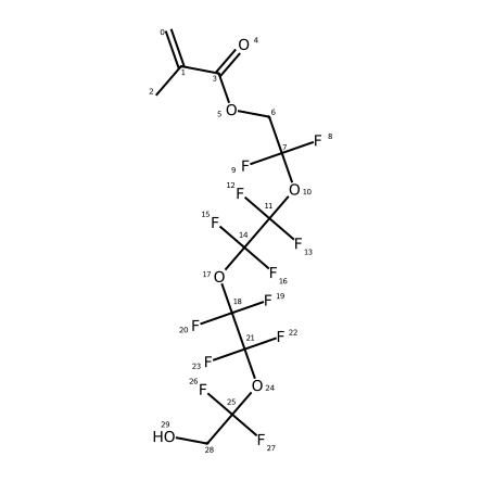 C=C(C)C(=O)OCC(F)(F)OC(F)(F)C(F)(F)OC(F)(F)C(F)(F)OC(F)(F)CO